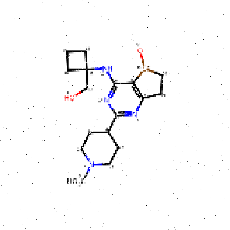 O=C(O)N1CCC(c2nc3c(c(NC4(CO)CCC4)n2)[S+]([O-])CC3)CC1